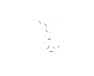 CC/C=C/C=C(\C=C(/C)NC(=O)N1CCCc2cc(CO)c(C=O)nc21)OC1CCOC1